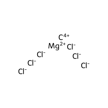 [C+4].[Cl-].[Cl-].[Cl-].[Cl-].[Cl-].[Cl-].[Mg+2]